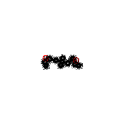 c1cc(-c2c3ccccc3c(-c3ccc(-c4ccc5oc6ccc7ccccc7c6c5c4)cc3)c3ccccc23)cc(-c2cccc3oc4c5ccccc5ccc4c23)c1